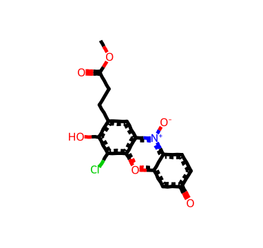 COC(=O)CCc1cc2c(oc3cc(=O)ccc-3[n+]2[O-])c(Cl)c1O